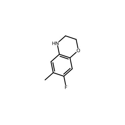 Cc1cc2c(cc1F)OCCN2